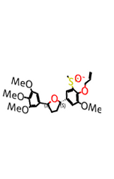 C=CCOc1c(OC)cc([C@@H]2CC[C@@H](c3cc(OC)c(OC)c(OC)c3)O2)cc1[S+](C)[O-]